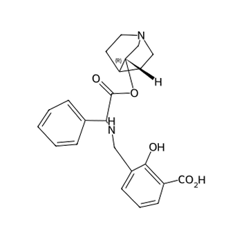 O=C(O)c1cccc(CNC(C(=O)O[C@H]2CN3CCC2CC3)c2ccccc2)c1O